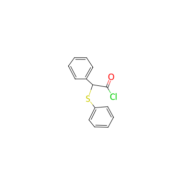 O=C(Cl)C(Sc1ccccc1)c1ccccc1